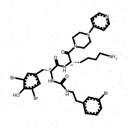 NCCCC[C@H](NC(=O)[C@@H](Cc1cc(Br)c(O)c(Br)c1)NC(=O)NCCc1cccc(Br)c1)C(=O)N1CCN(c2ccncc2)CC1